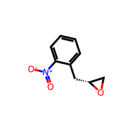 O=[N+]([O-])c1ccccc1C[C@@H]1CO1